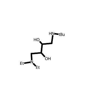 CCN(CC)CC(O)C(O)CNC(C)(C)C